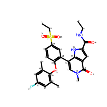 CCNC(=O)c1cc2c(=O)n(C)cc(-c3cc(S(=O)(=O)CC)ccc3Oc3c(C)cc(F)cc3C)c2[nH]1